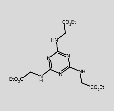 CCOC(=O)CNc1nc(NCC(=O)OCC)nc(NCC(=O)OCC)n1